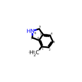 [CH2]c1cccc2c1CNC2